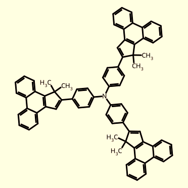 CC1(C)C(c2ccc(N(c3ccc(C4=Cc5c(c6ccccc6c6ccccc56)C4(C)C)cc3)c3ccc(C4=Cc5c(c6ccccc6c6ccccc56)C4(C)C)cc3)cc2)=Cc2c1c1ccccc1c1ccccc21